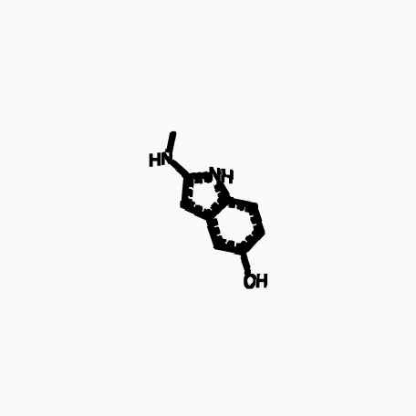 CNc1cc2cc(O)ccc2[nH]1